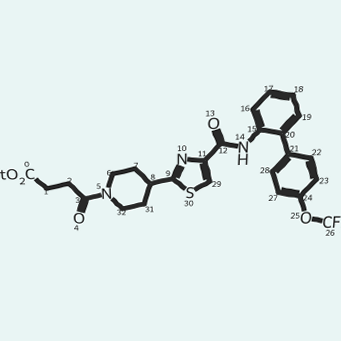 CCOC(=O)CCC(=O)N1CCC(c2nc(C(=O)Nc3ccccc3-c3ccc(OC(F)(F)F)cc3)cs2)CC1